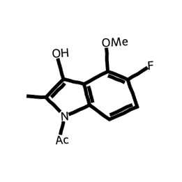 COc1c(F)ccc2c1c(O)c(C)n2C(C)=O